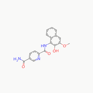 COc1cc2ccccc2c(NC(=O)c2ccc(C(N)=O)cn2)c1O